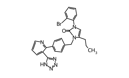 CCCc1cn(-c2ccccc2Br)c(=O)n1Cc1ccc(-c2ncccc2-c2nnn[nH]2)cc1